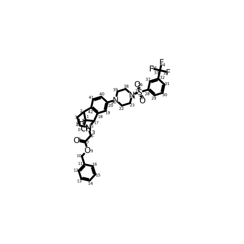 C[C@H]1C2CCN(CC(=O)OCc3ccccc3)C1c1cc(N3CCN(S(=O)(=O)c4cccc(C(F)(F)F)c4)CC3)ccc12